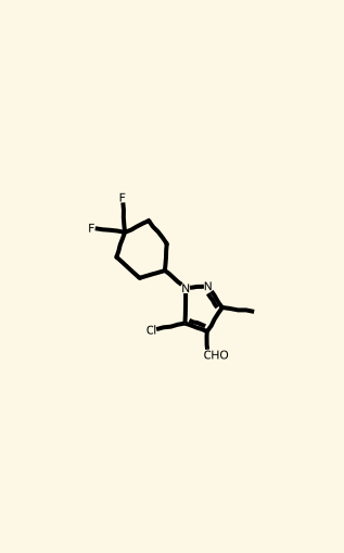 Cc1nn(C2CCC(F)(F)CC2)c(Cl)c1C=O